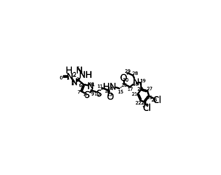 C=N/N=C(\NN)c1csc(SCC(=O)NC[C@H]2CN(Cc3ccc(Cl)c(Cl)c3)CCO2)n1